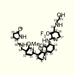 COc1nc(-c2ccnc(-c3cccc(Nc4nccc(CNCCO)c4C(F)(F)F)c3Cl)c2Cl)ccc1CNC[C@@H]1CCC(=O)N1